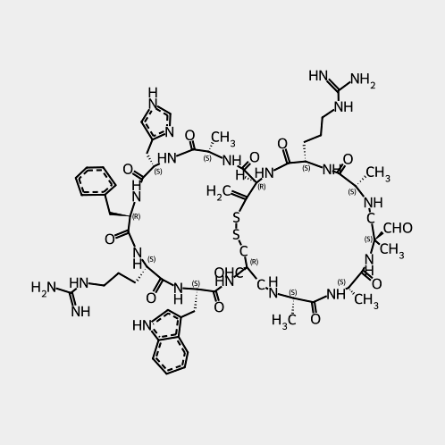 C=C1SSC[C@]2(C=O)CN[C@@H](C)C(=O)N[C@@H](C)C(=O)N[C@](C)(C=O)CN[C@@H](C)C(=O)N[C@@H](CCCNC(=N)N)C(=O)N[C@@H]1C(=O)N[C@@H](C)C(=O)N[C@@H](Cc1c[nH]cn1)C(=O)N[C@H](Cc1ccccc1)C(=O)N[C@@H](CCCNC(=N)N)C(=O)N[C@@H](Cc1c[nH]c3ccccc13)C(=O)N2